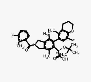 Cc1c(F)cccc1C(=O)N1Cc2c(C)c(-c3cc(F)c4c(c3C)CCCO4)c([C@H](OC(C)(C)C)C(=O)O)c(C)c2C1